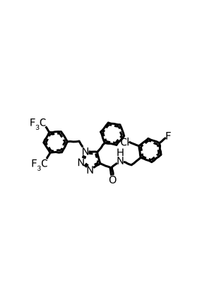 O=C(NCc1ccc(F)cc1Cl)c1nnn(Cc2cc(C(F)(F)F)cc(C(F)(F)F)c2)c1-c1ccccc1